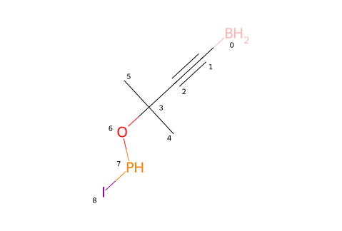 BC#CC(C)(C)OPI